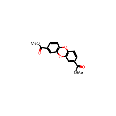 COC(=O)c1ccc2c(c1)Oc1cc(C(=O)OC)ccc1O2